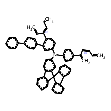 C=C/C=C\C(=C)c1ccc(N(c2ccc(/C(C=C)=C/C=C)c(-c3ccc(-c4ccccc4)cc3)c2)c2ccc3c(c2)C2(c4ccccc4-c4ccccc42)c2ccccc2-3)cc1